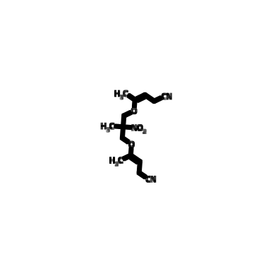 C/C(=C/CC#N)OCC(C)(CO/C(C)=C/CC#N)[N+](=O)[O-]